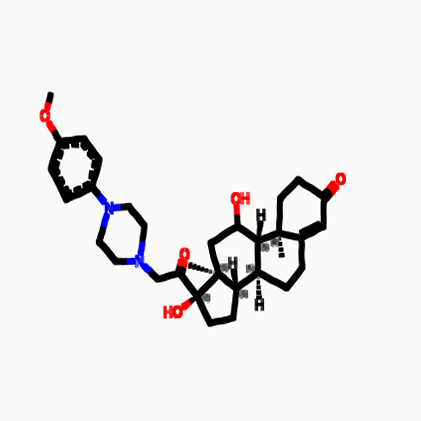 COc1ccc(N2CCN(CC(=O)[C@@]3(O)CC[C@H]4[C@@H]5CCC6=CC(=O)CC[C@]6(C)[C@H]5C(O)C[C@@]43C)CC2)cc1